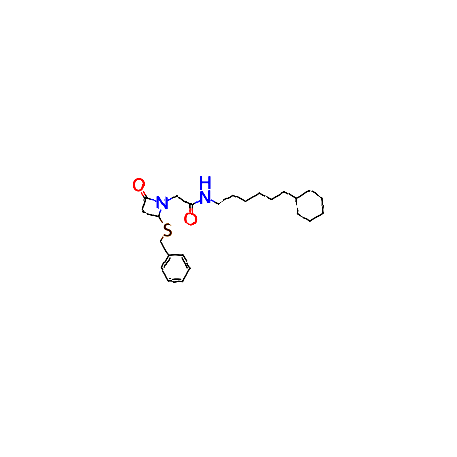 O=C(CN1C(=O)CC1SCc1ccccc1)NCCCCCCC1CCCCC1